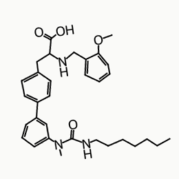 CCCCCCCNC(=O)N(C)c1cccc(-c2ccc(CC(NCc3ccccc3OC)C(=O)O)cc2)c1